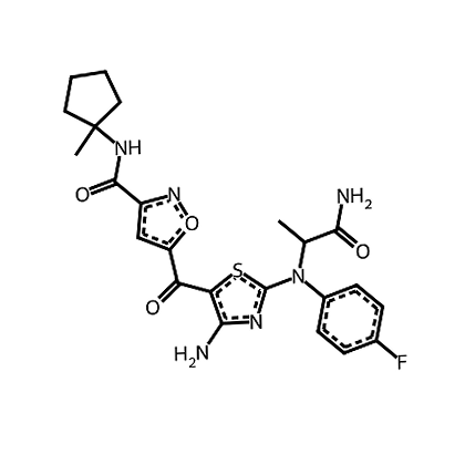 CC(C(N)=O)N(c1ccc(F)cc1)c1nc(N)c(C(=O)c2cc(C(=O)NC3(C)CCCC3)no2)s1